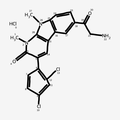 Cl.Cn1c(=O)c(-c2ccc(Cl)cc2Cl)cc2c3cc(C(=O)CN)ccc3n(C)c21